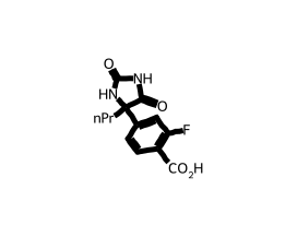 CCCC1(c2ccc(C(=O)O)c(F)c2)NC(=O)NC1=O